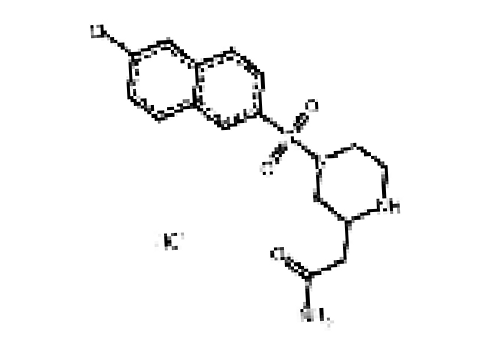 Cl.NC(=O)CC1CN(S(=O)(=O)c2ccc3cc(Cl)ccc3c2)CCN1